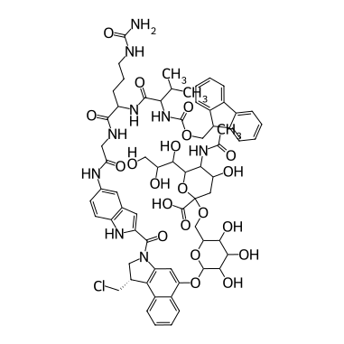 CC(=O)NC1C(O)CC(OCC2OC(Oc3cc4c(c5ccccc35)[C@H](CCl)CN4C(=O)c3cc4cc(NC(=O)CNC(=O)C(CCCNC(N)=O)NC(=O)C(NC(=O)OCC5c6ccccc6-c6ccccc65)C(C)C)ccc4[nH]3)C(O)C(O)C2O)(C(=O)O)OC1C(O)C(O)CO